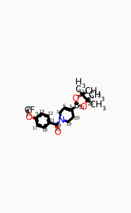 CC1(C)OB(C2=CCN(C(=O)c3ccc(OC(F)(F)F)cc3)CC2)OC1(C)C